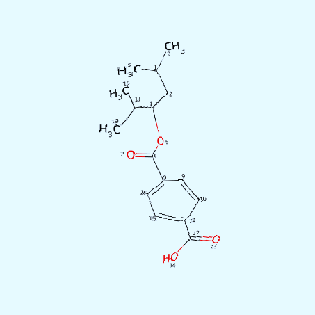 CC(C)CC(OC(=O)c1ccc(C(=O)O)cc1)C(C)C